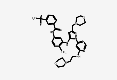 Cc1ccc(NC(=O)c2cccc(C(C)(F)F)c2)cc1Nc1cc(CN2CCOCC2)nn1-c1cc(NCCN2CCOCC2)ncn1